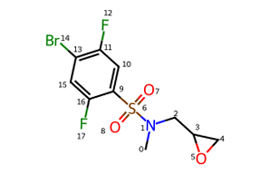 CN(CC1CO1)S(=O)(=O)c1cc(F)c(Br)cc1F